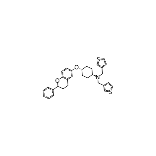 c1ccc(C2CCc3cc(O[C@H]4CC[C@H](N(Cc5ccsc5)Cc5ccsc5)CC4)ccc3O2)cc1